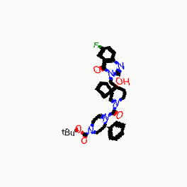 CC(C)(C)OC(=O)N1CCN(C(=O)N2CCC(O)(Cn3cnc4ccc(F)cc4c3=O)C3(CCCC3)C2)[C@H](c2ccccc2)C1